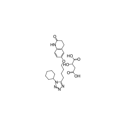 O=C(O)CC(O)C(=O)O.O=C1CCc2cc(OCCCCc3nnnn3C3CCCCC3)ccc2N1